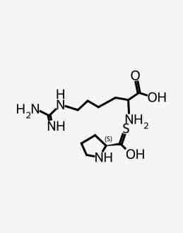 N=C(N)NCCCCC(N)C(=O)O.OC(=S)[C@@H]1CCCN1